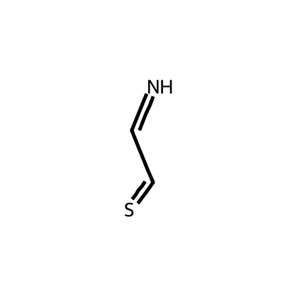 N=CC=S